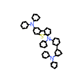 c1ccc(N(c2ccccc2)c2cccc(-c3cccc(N(c4ccccc4)c4cccc5c4sc4ccc(N(c6ccccc6)c6ccccc6)cc45)c3)c2)cc1